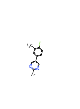 CC(=O)c1ncc(-c2ccc(F)c(C(F)(F)F)c2)cn1